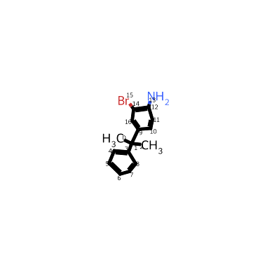 CC(C)(c1ccccc1)c1ccc(N)c(Br)c1